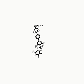 CCCCCC1COC(c2ccc(-c3cc(F)c(C(F)(F)Oc4cc(F)c(F)c(F)c4C)c(F)c3)cc2)OC1